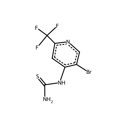 NC(=S)Nc1cc(C(F)(F)F)ncc1Br